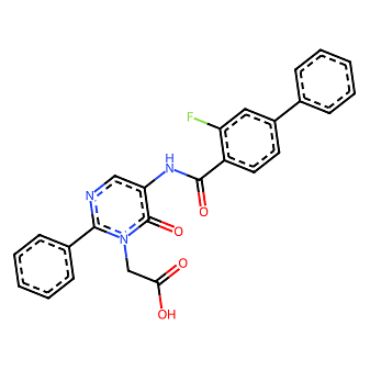 O=C(O)Cn1c(-c2ccccc2)ncc(NC(=O)c2ccc(-c3ccccc3)cc2F)c1=O